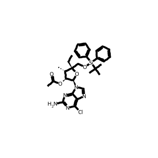 CC[C@@]1(CO[Si](c2ccccc2)(c2ccccc2)C(C)(C)C)O[C@@H](n2cnc3c(Cl)nc(N)nc32)[C@H](OC(C)=O)[C@@H]1C